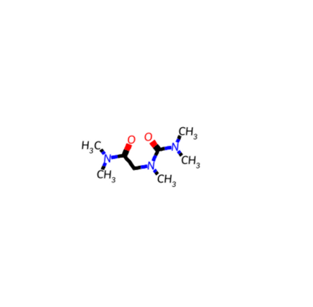 CN(C)C(=O)CN(C)C(=O)N(C)C